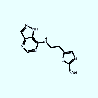 CNc1ncc(CCNc2ncnc3cn[nH]c23)s1